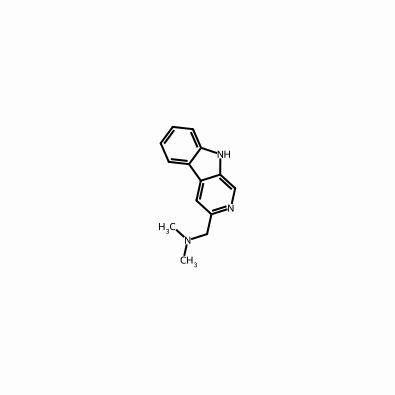 CN(C)Cc1cc2c(cn1)[nH]c1ccccc12